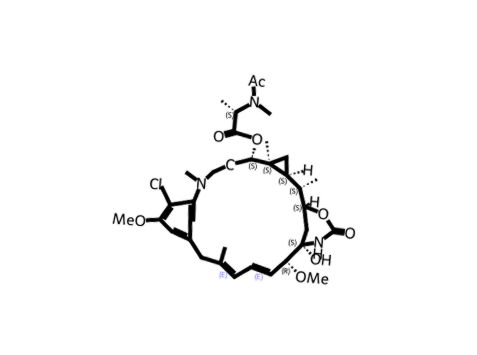 COc1cc2cc(c1Cl)N(C)CC[C@H](OC(=O)[C@H](C)N(C)C(C)=O)[C@@]1(C)C[C@H]1[C@H](C)[C@@H]1C[C@@](O)(NC(=O)O1)[C@H](OC)/C=C/C=C(\C)C2